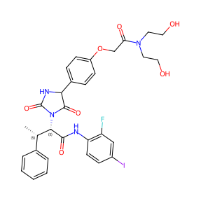 C[C@@H](c1ccccc1)[C@@H](C(=O)Nc1ccc(I)cc1F)N1C(=O)NC(c2ccc(OCC(=O)N(CCO)CCO)cc2)C1=O